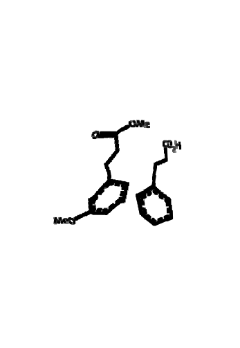 COC(=O)CCc1cccc(OC)c1.O=C(O)CCc1ccccc1